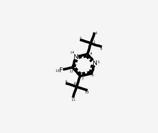 CC(C)(C)c1ncc(C(C)(C)C)c(F)n1